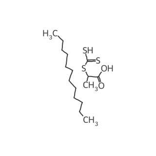 CC(SC(=S)S)C(=O)O.CCCCCCCCCCCC